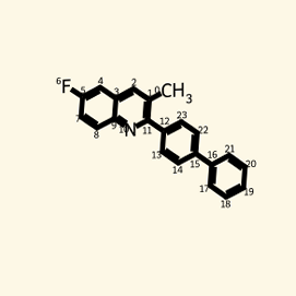 Cc1cc2cc(F)ccc2nc1-c1ccc(-c2ccccc2)cc1